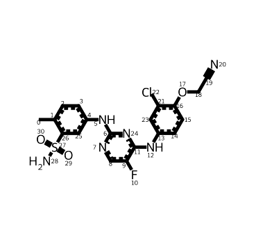 Cc1ccc(Nc2ncc(F)c(Nc3ccc(OCC#N)c(Cl)c3)n2)cc1S(N)(=O)=O